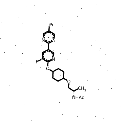 CC(=O)N[C@@H](C)COC1CCC(Oc2ncc(-c3ncc(C(C)C)cn3)cc2F)CC1